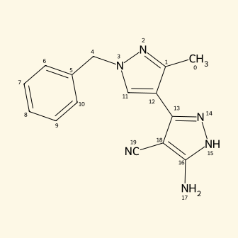 Cc1nn(Cc2ccccc2)cc1-c1n[nH]c(N)c1C#N